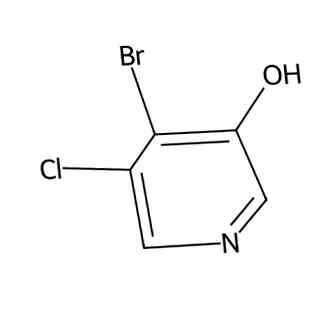 Oc1cncc(Cl)c1Br